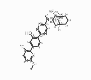 CSc1ncc(F)c(-c2ccc(-c3ncc(N(C)[C@H]4C[C@]5(C)CCC[C@@](C)(N5)[C@H]4F)nn3)c(O)c2)n1